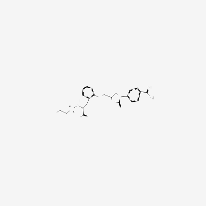 CCCS(=O)(=O)NC(Cc1ccccc1OCC1CN(c2ccc(C(=N)N)cc2)C(=O)O1)C(=O)O